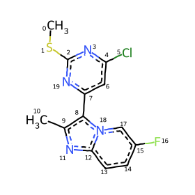 CSc1nc(Cl)cc(-c2c(C)nc3ccc(F)cn23)n1